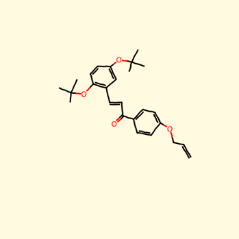 C=CCOc1ccc(C(=O)C=Cc2cc(OC(C)(C)C)ccc2OC(C)(C)C)cc1